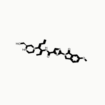 C=C/C=C(\C(=C/C)NC(=O)c1csc(N2Cc3ccc(OC)cc3C2=O)n1)N1CCN[C@@H](CO)C1